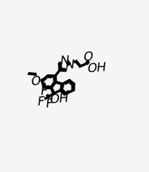 CCOc1cc(-c2cnn(CCC(=O)O)c2)c2c(c1)C(O)(C(F)(F)F)c1ccccc1-2